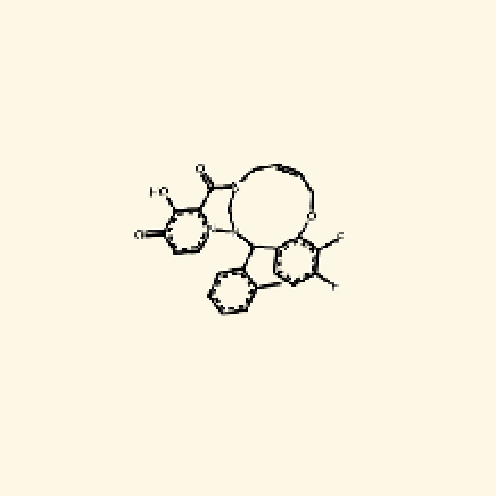 Cc1ccccc1C1c2ccc(F)c(F)c2OC/C=C\CN2CN1n1ccc(=O)c(O)c1C2=O